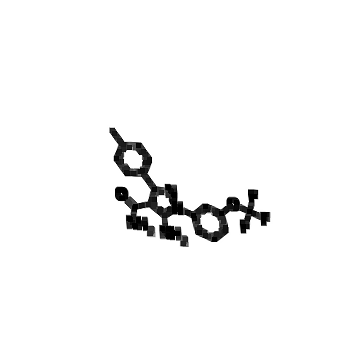 Cc1ccc(-c2nn(-c3cccc(OC(F)(F)F)c3)c(N)c2C(N)=O)cc1